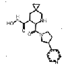 O=C(NO)C1CC2(CC2)CNC1C(=O)N1CCC(c2ccncc2)C1